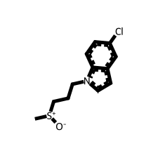 C[S+]([O-])CCCn1[c]cc2cc(Cl)ccc21